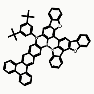 CC(C)(C)c1cc(N2c3cc4cc5c6ccccc6c6ccccc6c5cc4cc3B3c4c2cc2c(oc5ccccc52)c4-c2cc4c5ccccc5oc4c4c5ccccc5n3c24)cc(C(C)(C)C)c1